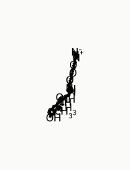 CN(C)C(CNC(=O)NCCc1cn(CCOCCOCCOCCN=[N+]=[N-])nn1)Cc1ccc(O)cc1